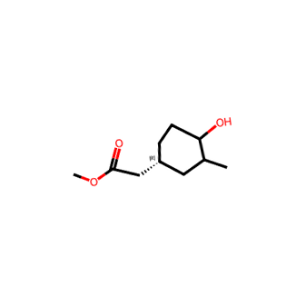 COC(=O)C[C@@H]1CCC(O)C(C)C1